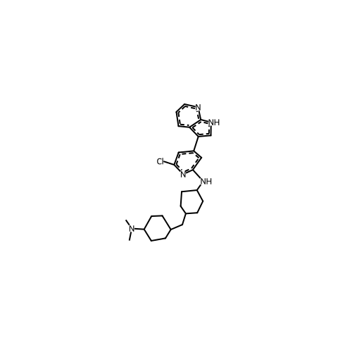 CN(C)C1CCC(CC2CCC(Nc3cc(-c4c[nH]c5ncccc45)cc(Cl)n3)CC2)CC1